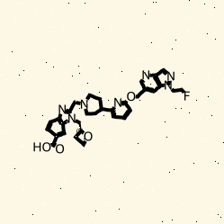 O=C(O)c1ccc2nc(CN3CCC(c4cccc(OCc5cnc6cnn(CCF)c6c5)n4)CC3)n(C[C@@H]3CCO3)c2c1